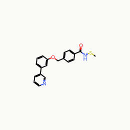 CSNC(=O)c1ccc(COc2cccc(-c3cccnc3)c2)cc1